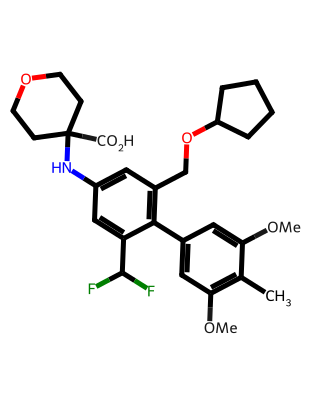 COc1cc(-c2c(COC3CCCC3)cc(NC3(C(=O)O)CCOCC3)cc2C(F)F)cc(OC)c1C